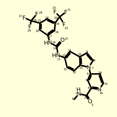 CNC(=O)c1cc(-n2ccc3cc(NC(=O)Nc4cc(C(F)(F)F)cc(C(F)(F)F)c4)ccc32)ccn1